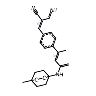 C=C(/C=C(\C)c1ccc(/C=C(/C#N)C=N)cc1)NC12CCC(C)(CC1)CC2